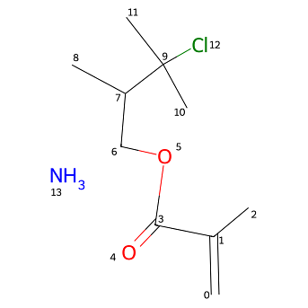 C=C(C)C(=O)OCC(C)C(C)(C)Cl.N